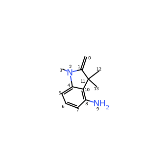 C=C1N(C)c2cccc(N)c2C1(C)C